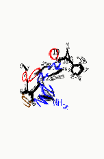 CCOC(=O)c1csc2nc(N)nc(N3CCN(C(=O)C4CC4c4ccccc4)CC3)c12